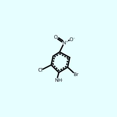 [NH]c1c(Cl)cc([N+](=O)[O-])cc1Br